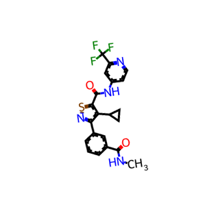 CNC(=O)c1cccc(-c2nsc(C(=O)Nc3ccnc(C(F)(F)F)c3)c2C2CC2)c1